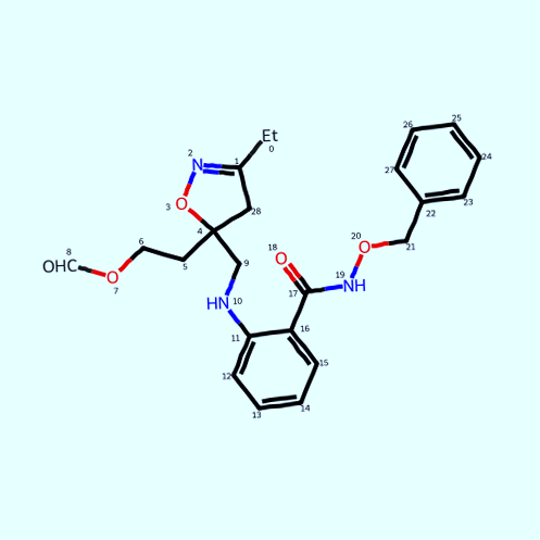 CCC1=NOC(CCOC=O)(CNc2ccccc2C(=O)NOCc2ccccc2)C1